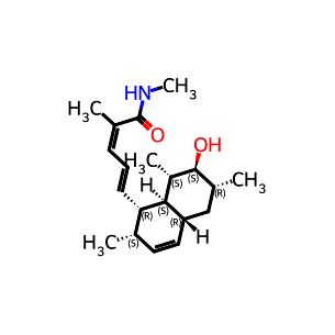 CNC(=O)C(C)=CC=C[C@@H]1[C@H]2[C@H](C)[C@@H](O)[C@H](C)C[C@@H]2C=C[C@@H]1C